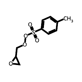 Cc1ccc(S(=O)(=O)OOCC2CO2)cc1